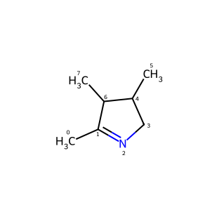 CC1=NCC(C)C1C